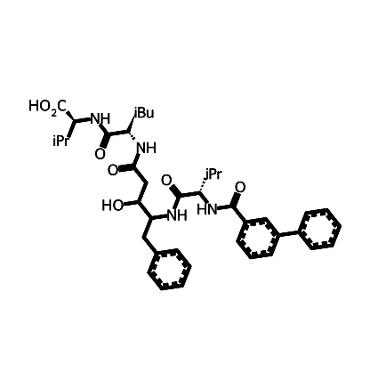 CC[C@H](C)[C@H](NC(=O)CC(O)C(Cc1ccccc1)NC(=O)[C@@H](NC(=O)c1cccc(-c2ccccc2)c1)C(C)C)C(=O)N[C@H](C(=O)O)C(C)C